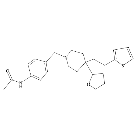 CC(=O)Nc1ccc(CN2CCC(CCc3cccs3)(C3CCCO3)CC2)cc1